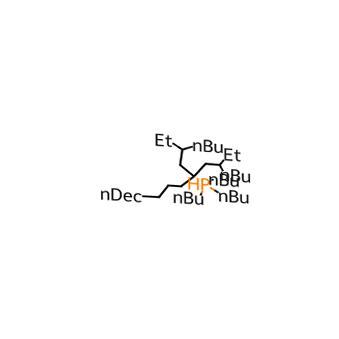 CCCCCCCCCCCCCC(CC(CC)CCCC)(CC(CC)CCCC)[PH](CCCC)(CCCC)CCCC